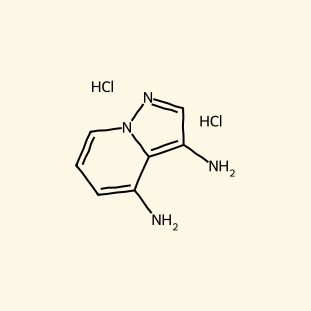 Cl.Cl.Nc1cccn2ncc(N)c12